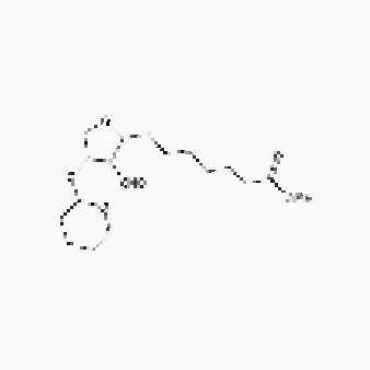 COC(=O)CCCCCCC1OCC(OC2CCCCO2)C1C=O